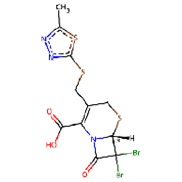 Cc1nnc(SCC2=C(C(=O)O)N3C(=O)C(Br)(Br)[C@H]3SC2)s1